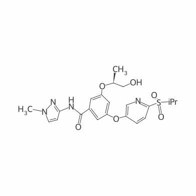 CC(C)S(=O)(=O)c1ccc(Oc2cc(O[C@@H](C)CO)cc(C(=O)Nc3ccn(C)n3)c2)cn1